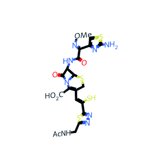 CON=C(C(=O)NC1C(=O)N2C(C(=O)O)=C(C=C(S)c3nnc(CNC(C)=O)s3)CSC12)c1csc(N)n1